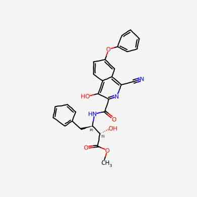 COC(=O)[C@@H](O)[C@@H](Cc1ccccc1)NC(=O)c1nc(C#N)c2cc(Oc3ccccc3)ccc2c1O